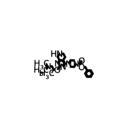 C[C@@H](CN(C)C)Oc1nc2c(c(N3CCN(C(=O)OCc4ccccc4)CC3)n1)CCNC2